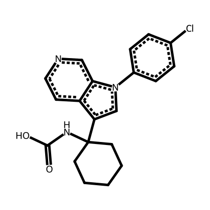 O=C(O)NC1(c2cn(-c3ccc(Cl)cc3)c3cnccc23)CCCCC1